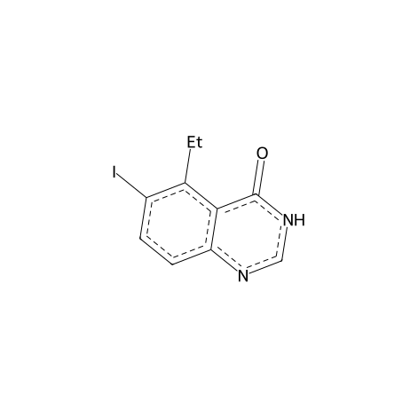 CCc1c(I)ccc2nc[nH]c(=O)c12